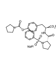 O=C(O)[C@H](Cc1ccc(OC(=O)N2CCCC2)cc1)NC(=O)[C@@H]1CCCN1S(=O)(=O)c1ccccc1.[NaH]